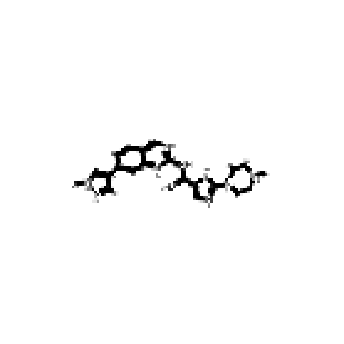 CN1CCN(c2ncc(C(=O)Nc3ncc4ccc(-c5cnn(C)c5)cc4n3)s2)CC1